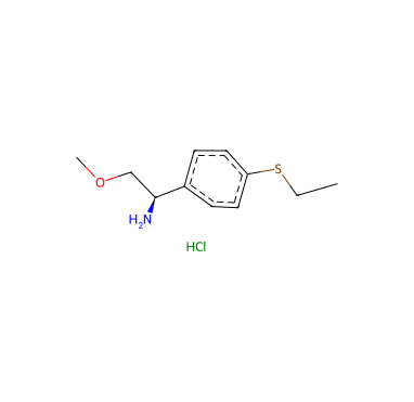 CCSc1ccc([C@@H](N)COC)cc1.Cl